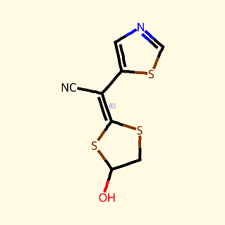 N#C/C(=C1/SCC(O)S1)c1cncs1